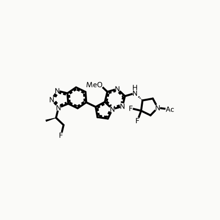 COc1nc(N[C@@H]2CN(C(C)=O)CC2(F)F)nn2ccc(-c3ccc4nnn([C@H](C)CF)c4c3)c12